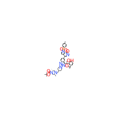 Cc1ccc(S(=O)(=O)n2ccc3c(-c4ccc5nc(N6CCC(CN7C[C@@H](C)N(C(=O)OC(C)(C)C)C[C@@H]7C)CC6)nc([C@@](CO)(OC6CC6)c6ccccc6)c5c4)cn(C)c(=O)c32)cc1